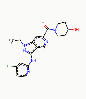 O=C(c1cc2c(cn1)c(Nc1cc(F)ccn1)nn2CC(F)(F)F)N1CCC(O)CC1